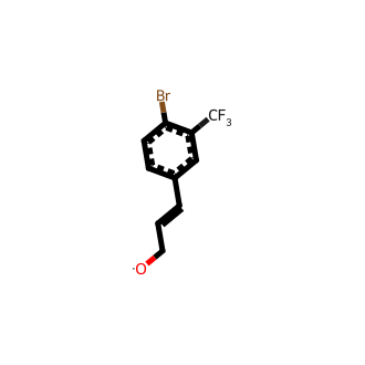 [O]CC=Cc1ccc(Br)c(C(F)(F)F)c1